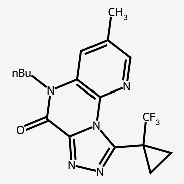 CCCCn1c(=O)c2nnc(C3(C(F)(F)F)CC3)n2c2ncc(C)cc21